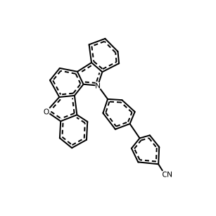 N#Cc1ccc(-c2ccc(-n3c4ccccc4c4ccc5oc6ccccc6c5c43)cc2)cc1